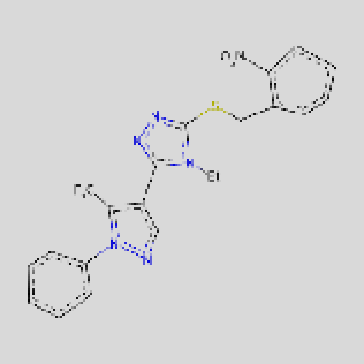 CCn1c(SCc2ccccc2[N+](=O)[O-])nnc1-c1cnn(-c2ccccc2)c1C(F)(F)F